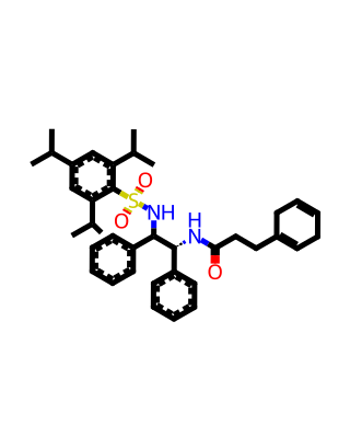 CC(C)c1cc(C(C)C)c(S(=O)(=O)NC(c2ccccc2)[C@H](NC(=O)CCC2=CCC=CC2)c2ccccc2)c(C(C)C)c1